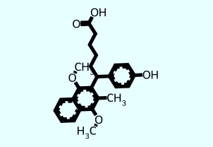 COc1c(C)c(C(CCCCC(=O)O)c2ccc(O)cc2)c(OC)c2ccccc12